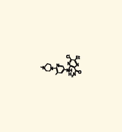 CCc1nc(C(N)=O)c(Nc2cnc(N3CCN(C)CC3)c(C)c2)nc1Cl